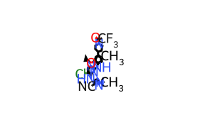 Cc1cc(Nc2ncc(Cl)c(Nc3cn(C)nc3C#N)n2)c(OC2CC2)cc1C1CCN(C(=O)C(F)(F)F)CC1